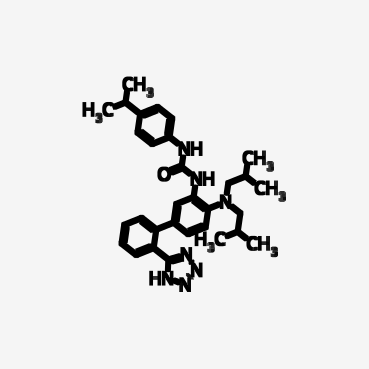 CC(C)CN(CC(C)C)c1ccc(-c2ccccc2-c2nnn[nH]2)cc1NC(=O)Nc1ccc(C(C)C)cc1